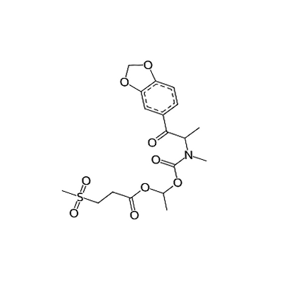 CC(OC(=O)CCS(C)(=O)=O)OC(=O)N(C)C(C)C(=O)c1ccc2c(c1)OCO2